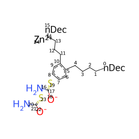 CCCCCCCCCCCCCCc1ccccc1CCCCCCCCCCCCCC.NC([O-])=S.NC([O-])=S.[Zn+2]